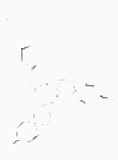 CCCCCCCCCCCCCC(=O)CC(=O)OC1CC2(CCC3(C=CC(=O)C=C3)O2)O[C@@]2(CCC3(C=CC(=O)C=C3)O2)C1